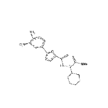 CNC(=O)[C@@H](NC(=O)c1ccc(-c2ccc(N)c([N+](=O)[O-])c2)o1)C1CCCCC1